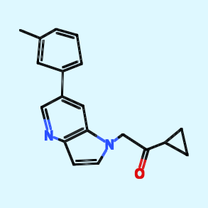 Cc1cccc(-c2cnc3ccn(CC(=O)C4CC4)c3c2)c1